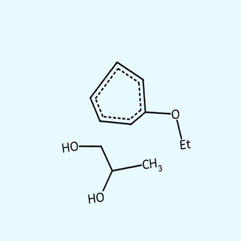 CC(O)CO.CCOc1ccccc1